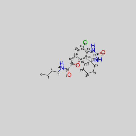 CCCCNC(=O)c1cc2cc(Cl)c3c(c2o1)C1(CCCCC1)NC(=O)N3